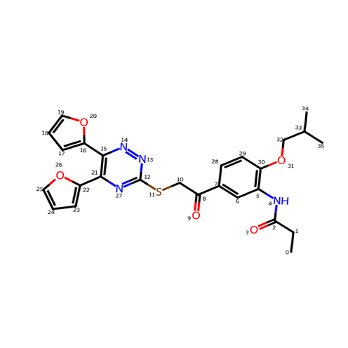 CCC(=O)Nc1cc(C(=O)CSc2nnc(-c3ccco3)c(-c3ccco3)n2)ccc1OCC(C)C